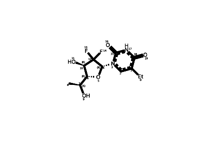 CCc1cn([C@@H]2O[C@H]([C@H](C)O)[C@@H](O)C2(F)F)c(=O)[nH]c1=O